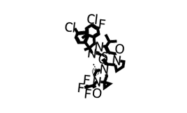 Cc1cc(Cl)c(F)cc1C1N2C(=NC1(C)c1ccc(Cl)cc1)SC(C(=O)N1CCCC1C(=O)N1CC3(CC3)N(C(=O)C(F)(F)F)C[C@@H]1C)=C2C(C)C